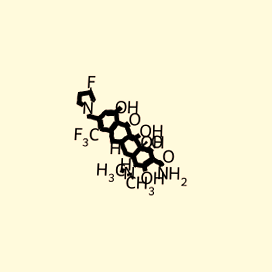 CN(C)[C@@H]1C(O)=C(C(N)=O)C(=O)[C@@]2(O)C(O)=C3C(=O)c4c(O)cc(CN5CC[C@H](F)C5)c(C(F)(F)F)c4C[C@H]3C[C@@H]12